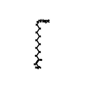 CCCCCCCCCCCCCCCC/C=C/[P]